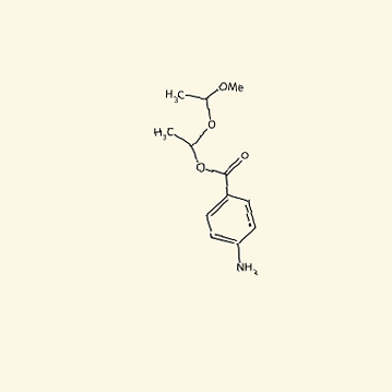 COC(C)OC(C)OC(=O)c1ccc(N)cc1